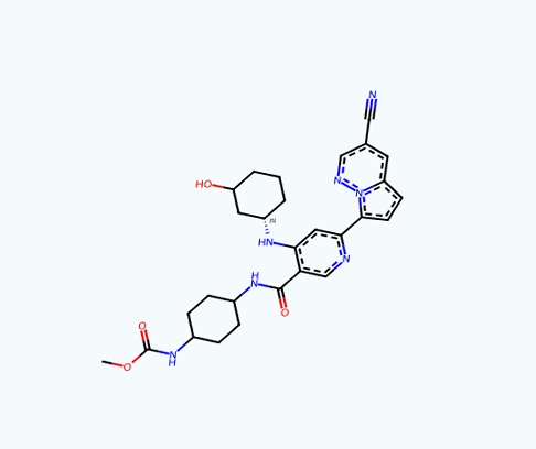 COC(=O)NC1CCC(NC(=O)c2cnc(-c3ccc4cc(C#N)cnn34)cc2N[C@H]2CCCC(O)C2)CC1